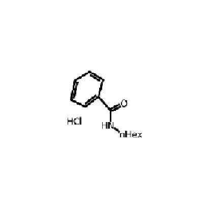 CCCCCCNC(=O)c1ccccc1.Cl